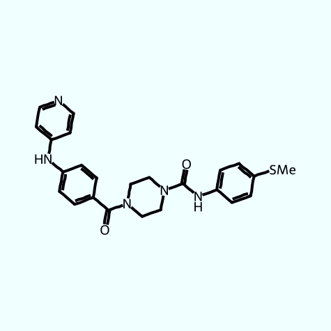 CSc1ccc(NC(=O)N2CCN(C(=O)c3ccc(Nc4ccncc4)cc3)CC2)cc1